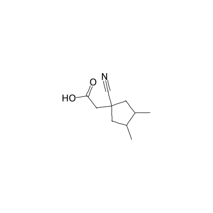 CC1CC(C#N)(CC(=O)O)CC1C